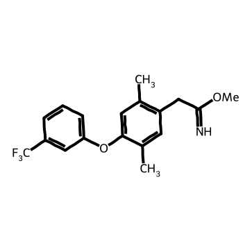 COC(=N)Cc1cc(C)c(Oc2cccc(C(F)(F)F)c2)cc1C